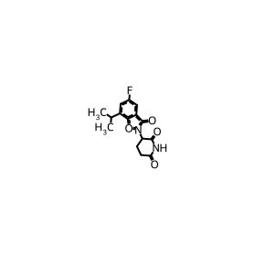 CC(C)c1cc(F)cc2c(=O)n(C3CCC(=O)NC3=O)oc12